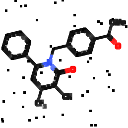 COC(=O)c1ccc(Cn2c(-c3ccccc3)cc(C(F)(F)F)c(C#N)c2=O)cc1